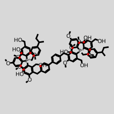 CCC(C)c1ccc(C[P+](c2c(CO)cc(OC)cc2CO)(c2c(OC)cc(CO)cc2OC)c2c(OC)cc(OC)c(Cc3ccc(-c4ccc(Cc5c(OC)cc(CO)c([P+](Cc6ccc(C(C)CC)cc6)(c6c(CO)cc(OC)cc6CO)c6c(OC)cc(CO)cc6OC)c5OC)cc4)cc3)c2CO)cc1